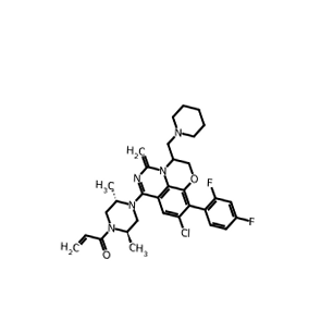 C=CC(=O)N1C[C@H](C)N(C2=NC(=C)N3c4c2cc(Cl)c(-c2ccc(F)cc2F)c4OCC3CN2CCCCC2)C[C@H]1C